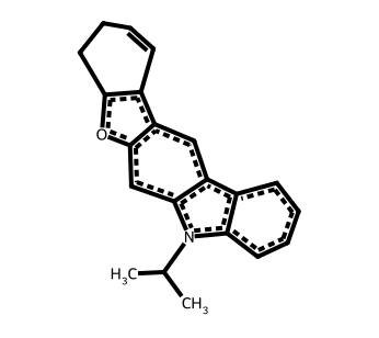 CC(C)n1c2ccccc2c2cc3c4c(oc3cc21)CCC=C4